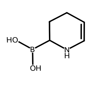 OB(O)C1CCC=CN1